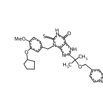 COc1ccc(Cn2c(=S)[nH]c(=O)c3[nH]c(C(C)(C)OCc4ccncc4)nc32)cc1OC1CCCC1